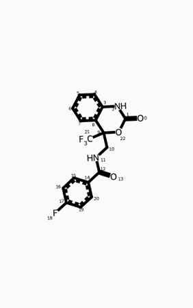 O=C1Nc2ccccc2C(CNC(=O)c2ccc(F)cc2)(C(F)(F)F)O1